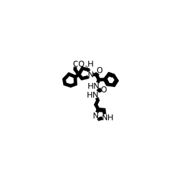 O=C(O)CC1(C2CCCCC2)CCN(C(=O)C(NC(=O)NCCc2c[nH]cn2)c2ccccc2)CC1